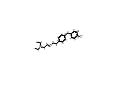 CCN(CC)CCOCCc1ccc([CH]c2ccc(Cl)cc2)cc1